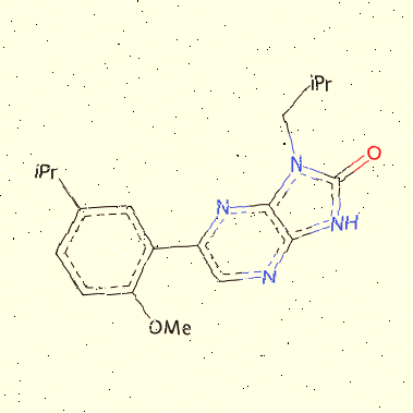 COc1ccc(C(C)C)cc1-c1cnc2[nH]c(=O)n(CC(C)C)c2n1